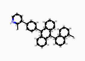 Cc1ncccc1-c1ccc(-c2c3ccccc3c(-c3cccc4c(C)cccc34)c3ccccc23)cc1